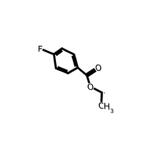 C[CH]OC(=O)c1ccc(F)cc1